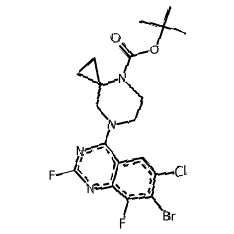 CC(C)(C)OC(=O)N1CCN(c2nc(F)nc3c(F)c(Br)c(Cl)cc23)CC12CC2